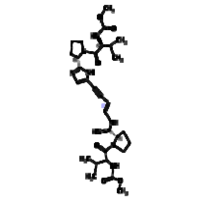 COC(=O)NC(C(=O)N1CCC[C@H]1C(=N)N/C=C/C#Cc1cnc([C@@H]2CCCN2C(=O)[C@@H](NC(=O)OC)C(C)C)[nH]1)C(C)C